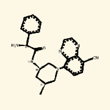 C[C@H]1C[C@@H](NC(=O)[C@@H](N)c2ccccc2)CN(c2ccc(C#N)c3nccnc23)C1